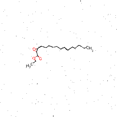 CCCCCCCCCCCCCC1OC1C(=O)OCC